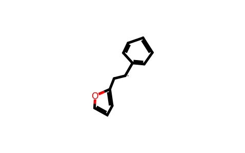 [CH](Cc1ccco1)c1ccccc1